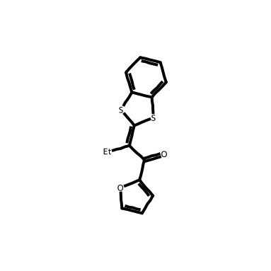 CCC(C(=O)c1ccco1)=C1Sc2ccccc2S1